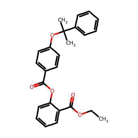 CCOC(=O)c1ccccc1OC(=O)c1ccc(OC(C)(C)c2ccccc2)cc1